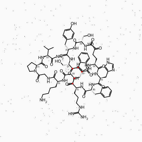 CCCC[C@H](NC(=O)[C@H](CO)NC(=O)[C@H](Cc1ccc(O)cc1)NC(=O)[C@H](CO)NC(C)=O)C(=O)N[C@@H](CCC(=O)O)C(=O)N[C@@H](Cc1c[nH]cn1)C(=O)N[C@H](Cc1ccccc1)C(=O)N[C@@H](CCCNC(=N)N)C(=O)N[C@@H](Cc1c[nH]c2ccccc12)C(=O)N[C@@H](CCCCN)C(=O)NCC(=O)N1CCC[C@H]1C(=O)N[C@H](C(N)=O)C(C)C